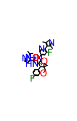 CC1=NCC(C)=C1c1ncc(NC(=O)[C@@H](NC(=O)c2ccnn2C(C)C)C2c3ccc(F)cc3OCC23CC3)cc1F